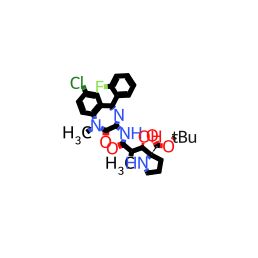 CC(C(=O)NC1N=C(c2ccccc2F)c2cc(Cl)ccc2N(C)C1=O)[C@@H](O)[C@@]1(C(=O)OC(C)(C)C)CCCN1